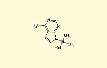 Cc1ncnc2c1ccn2[Si](C)(C)C(C)(C)C